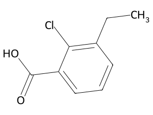 CCc1cccc(C(=O)O)c1Cl